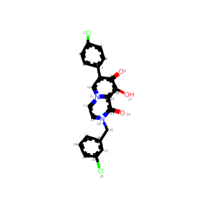 O=c1c(-c2ccc(Cl)cc2)cn2ccn(Cc3cccc(Cl)c3)c(=O)c2c1O